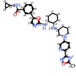 Cc1nc(-c2ccc(N3CCC[C@H](N[C@@H]4CCCC[C@H]4Nc4ncc(-c5cccc(C(=O)NC6CC6)c5)o4)C3)cn2)no1